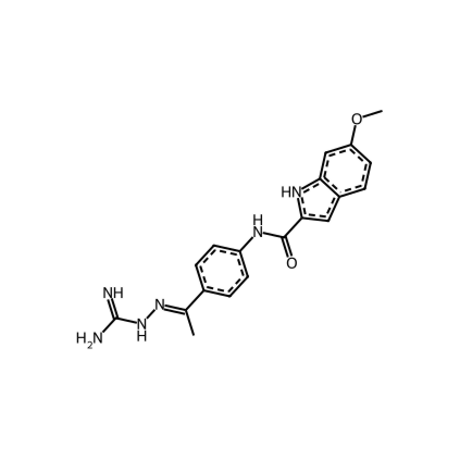 COc1ccc2cc(C(=O)Nc3ccc(/C(C)=N/NC(=N)N)cc3)[nH]c2c1